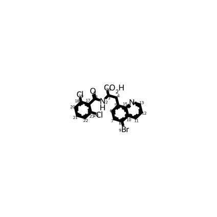 O=C(NC(Cc1ccc(Br)c2cccnc12)C(=O)O)c1c(Cl)cccc1Cl